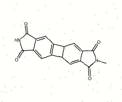 CN1C(=O)C2=CC3c4cc5c(cc4C3C=C2C1=O)C(=O)NC5=O